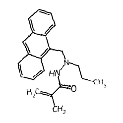 C=C(C)C(=O)NN(CCC)Cc1c2ccccc2cc2ccccc12